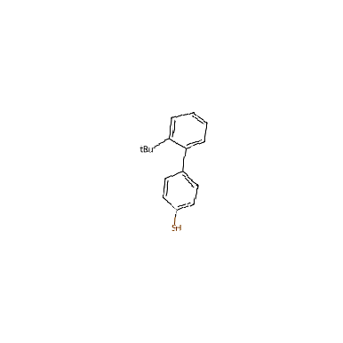 CC(C)(C)c1ccccc1-c1ccc(S)cc1